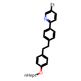 CCCCCCCOc1ccc(CCc2ccc(-c3ccc(CC)cn3)cc2)cc1